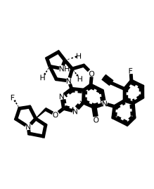 C#Cc1c(F)ccc2cccc(-n3cc4c5c(nc(OC[C@@]67CCCN6C[C@H](F)C7)nc5c3=O)N3C[C@H]5CC[C@H](N5)[C@H]3CO4)c12